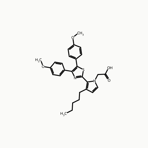 CCCCCc1ccn(CC(=O)O)c1-c1nc(-c2ccc(OC)cc2)c(-c2ccc(OC)cc2)s1